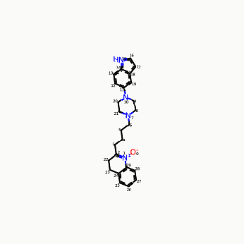 [O-][N+]1=C(CCCCN2CCN(c3ccc4[nH]ccc4c3)CC2)CCc2ccccc21